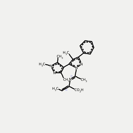 C/C=C(\N=C(/C)n1nc(-c2ccccc2)c(C)c1-c1c(C)nn(C)c1C)C(=O)O